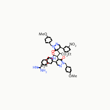 CCOC(=O)C(c1c(-c2cccc([N+](=O)[O-])c2)cnn(Cc2ccc(OC)cc2)c1=O)C(C(=O)NCc1ccc(C(=N)N)cc1)c1c(-c2cccc([N+](=O)[O-])c2)cnn(Cc2ccc(OC)cc2)c1=O